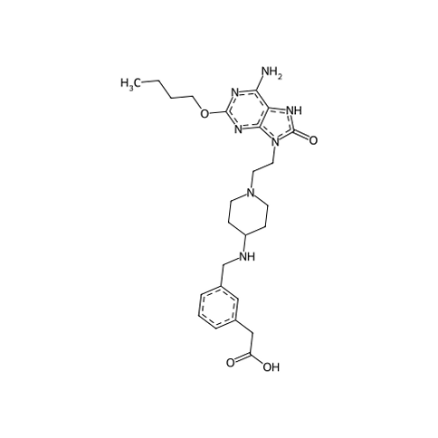 CCCCOc1nc(N)c2[nH]c(=O)n(CCN3CCC(NCc4cccc(CC(=O)O)c4)CC3)c2n1